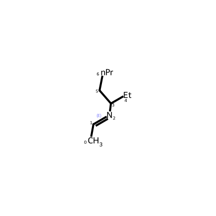 C/C=N/C(CC)CCCC